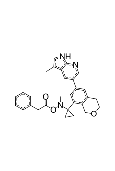 Cc1c[nH]c2ncc(-c3cc4c(c(C5(N(C)OC(=O)Cc6ccccc6)CC5)c3)COCC4)cc12